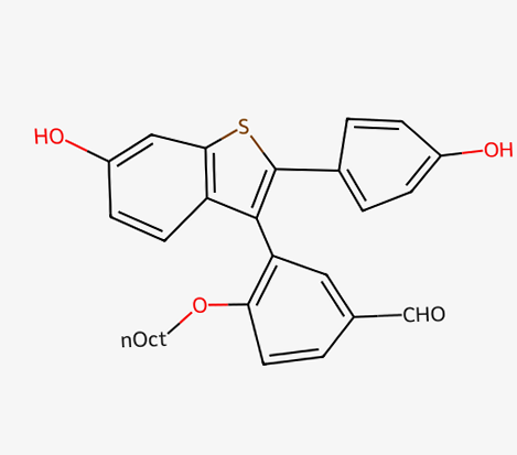 CCCCCCCCOc1ccc(C=O)cc1-c1c(-c2ccc(O)cc2)sc2cc(O)ccc12